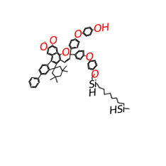 COc1cc2c3c(c4c(c2cc1OC)-c1ccc(-c2ccccc2)cc1C41CC(C)(C)CC(C)(C)C1)C=CC(c1ccc(Oc2ccc(O)cc2)cc1)(c1ccc(Oc2ccc(OC[SiH](C)CCCCCCCCC[SiH](C)C)cc2)cc1)O3